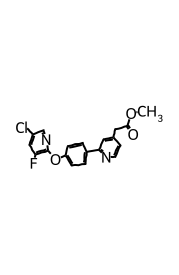 COC(=O)Cc1ccnc(-c2ccc(Oc3ncc(Cl)cc3F)cc2)c1